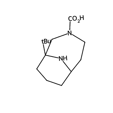 CC(C)(C)C12CCCC(CCN(C(=O)O)C1)N2